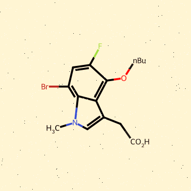 CCCCOc1c(F)cc(Br)c2c1c(CC(=O)O)cn2C